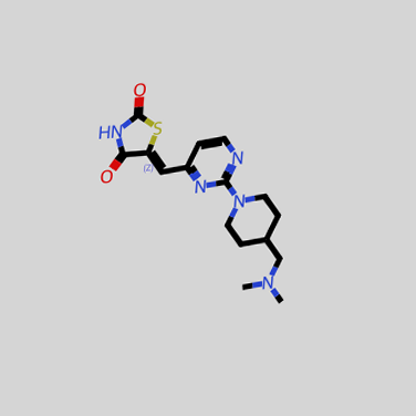 CN(C)CC1CCN(c2nccc(/C=C3\SC(=O)NC3=O)n2)CC1